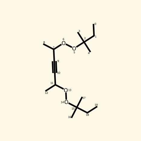 CCC(C)(C)OOC(C)C#CC(C)OOC(C)(C)CC